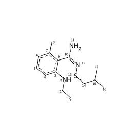 CCNc1cccc(C)c1/C(N)=N\SCC(C)C